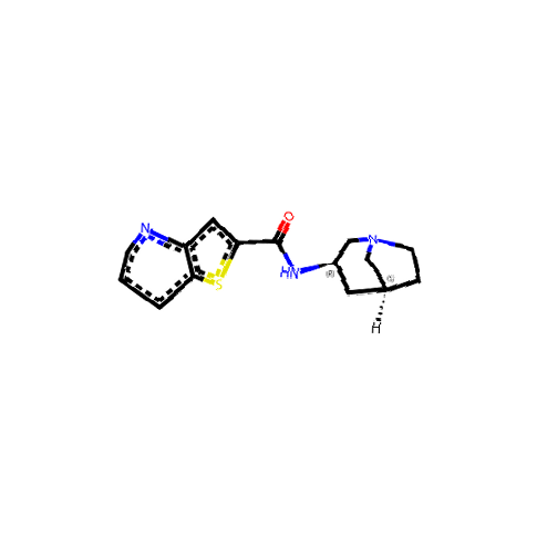 O=C(N[C@@H]1C[C@@H]2CCN(C2)C1)c1cc2ncccc2s1